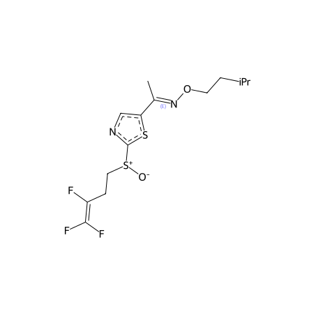 C/C(=N\OCCC(C)C)c1cnc([S+]([O-])CCC(F)=C(F)F)s1